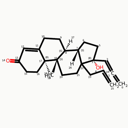 C=C=C[C@]1(O)CC[C@H]2[C@@H]3CCC4=CC(=O)CC[C@@H]4[C@@]3(C)CCC21CC=C